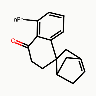 CCCc1cccc2c1C(=O)CCC21CC2=CCC1C2